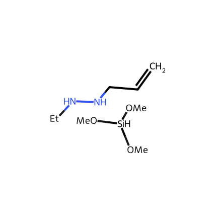 C=CCNNCC.CO[SiH](OC)OC